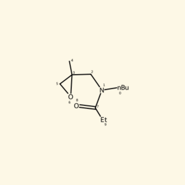 CCCCN(CC1(C)CO1)C(=O)CC